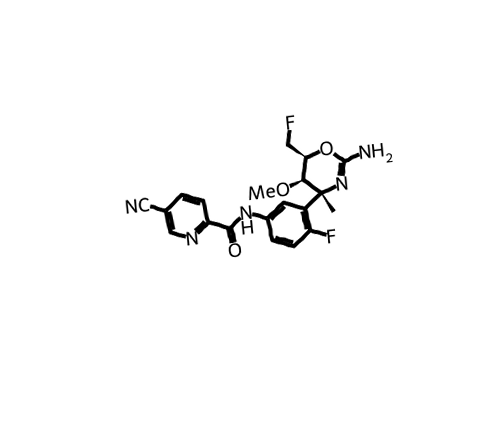 CO[C@H]1[C@@H](CF)OC(N)=N[C@]1(C)c1cc(NC(=O)c2ccc(C#N)cn2)ccc1F